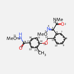 CNC(=O)/C(=N/OC)c1ccccc1COc1ccc(C(=O)NOC)cc1C